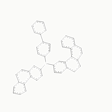 c1ccc(-c2ccc(N(c3ccc4c(ccc5ccccc54)c3)c3ccc4ccc5ccc6ccccc6c5c4c3)cc2)cc1